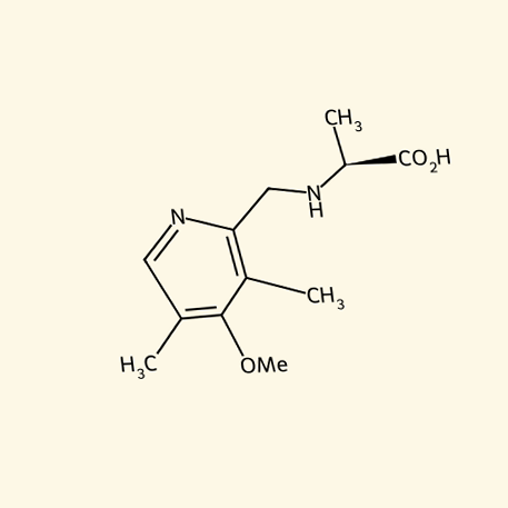 COc1c(C)cnc(CN[C@@H](C)C(=O)O)c1C